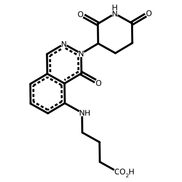 O=C(O)CCCNc1cccc2cnn(C3CCC(=O)NC3=O)c(=O)c12